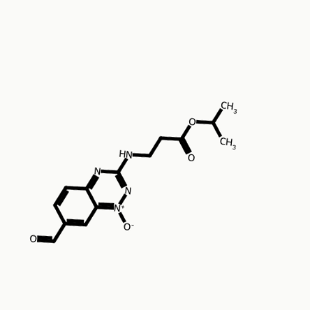 CC(C)OC(=O)CCNc1nc2ccc(C=O)cc2[n+]([O-])n1